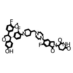 COc1cc(C2COc3cc(O)ccc3[C@H]2c2ccc(N3CCC(CN4CCN(c5cc6c(cc5F)C(=O)N(C5CCC(=O)NC5=O)C6)CC4)CC3)c(F)c2)ccc1F